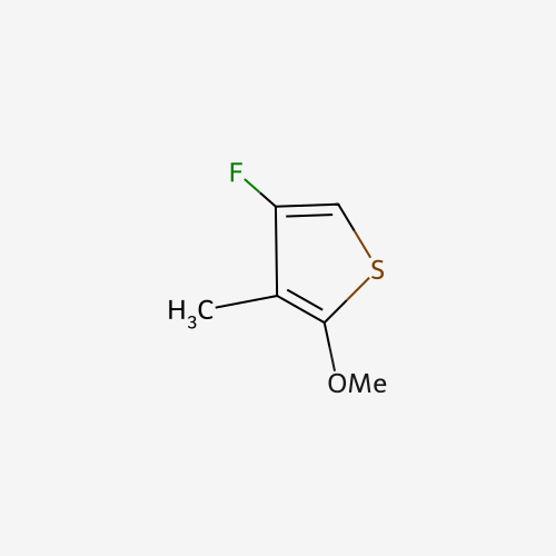 COc1scc(F)c1C